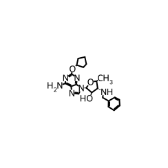 C[C@H]1O[C@@H](n2cnc3c(N)nc(OC4CCCC4)nc32)[C@H](O)[C@H]1NCc1ccccc1